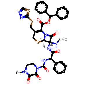 CCN1CCN(C(=O)NC(C(=O)N[C@]2(NC=O)C(=O)N3C(C(=O)OC(c4ccccc4)c4ccccc4)=C(CSc4nncs4)CS[C@@H]32)c2ccccc2)C(=O)C1=O